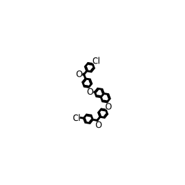 O=C(c1ccc(Cl)cc1)c1ccc(Oc2ccc3ccc(Oc4ccc(C(=O)c5ccc(Cl)cc5)cc4)cc3c2)cc1